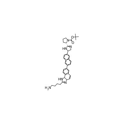 CC(C)(C)OC(=O)N1CCC[C@H]1C1=NCC(c2ccc3cc(-c4ccc5c(c4)C=CC4N=C(CCCCN)NC54)ccc3c2)N1